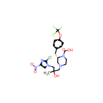 CC(O)(CN1CCN(C(=O)O)[C@@H](Cc2ccc(OC(F)(F)F)cc2)C1)Cn1cc([N+](=O)[O-])nc1Cl